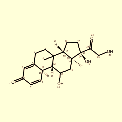 CC12CCC3=CC(=O)C=C[C@]3(C)[C@H]1C(O)C[C@@]1(C)[C@H]2CC[C@]1(O)C(=O)CO